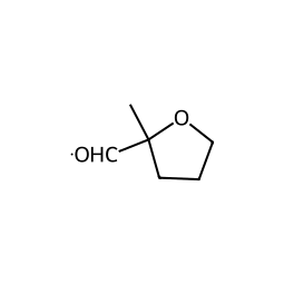 CC1([C]=O)CCCO1